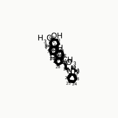 C[C@@]1(O)CC[C@H]2[C@@H](CC[C@@H]3[C@@H]2CC[C@]2(C)[C@@H](C(=O)Cn4nnc5ccccc54)CC[C@@H]32)C1